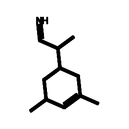 CC1=CC(C)CC(C(C)C=N)C1